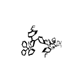 CCS(=O)(=O)c1nc2ccc(-c3cn(C(c4ccccc4)(c4ccccc4)C4C=CC=CC4)nc3-c3ccc(F)cc3)cc2n1-c1ccc(F)cc1